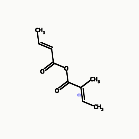 CC=CC(=O)OC(=O)/C(C)=C/C